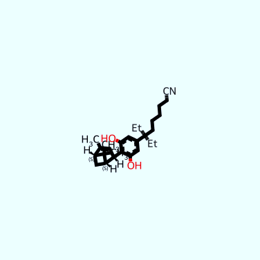 CCC(CC)(CCCCCC#N)c1cc(O)c([C@H]2C=C(C)[C@H]3C[C@@H]2C3(C)C)c(O)c1